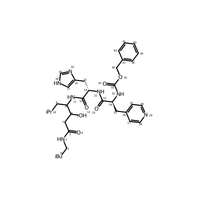 CCC(C)CNC(=O)CC(O)C(CC(C)C)NC(=O)[C@H](Cc1c[nH]cn1)NC(=O)[C@H](Cc1ccncc1)NC(=O)OCc1ccccc1